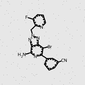 N#Cc1cccc(-c2nc(N)c3nn(Cc4ncccc4F)nc3c2Br)c1